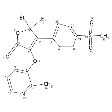 CCC1(CC)OC(=O)C(Oc2cccnc2C)=C1c1ccc(S(C)(=O)=O)cc1